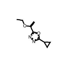 C=C(OCC)c1nnc(C2CC2)o1